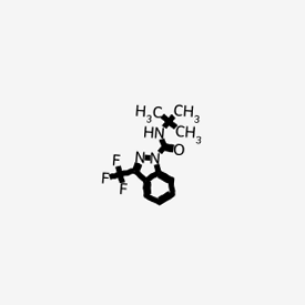 CC(C)(C)NC(=O)n1nc(C(F)(F)F)c2ccccc21